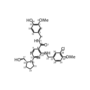 COc1cc(CNC(=O)c2cnc(N3CCC[C@H]3CO)nc2NCc2ccc(OC)c(Cl)c2)ccc1O